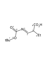 CCC(C=NC(=O)OC(C)(C)C)C(=O)O